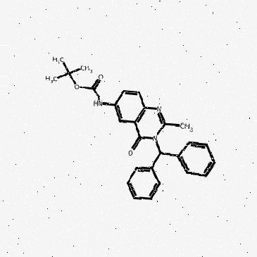 Cc1nc2ccc(NC(=O)OC(C)(C)C)cc2c(=O)n1C(c1ccccc1)c1ccccc1